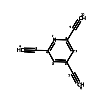 C#Cc1cc(C#C)nc(C#C)c1